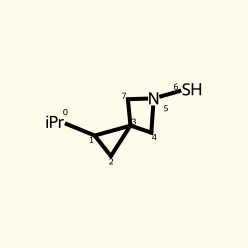 CC(C)C1CC12CN(S)C2